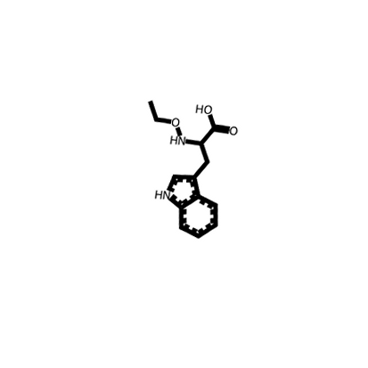 CCONC(Cc1c[nH]c2ccccc12)C(=O)O